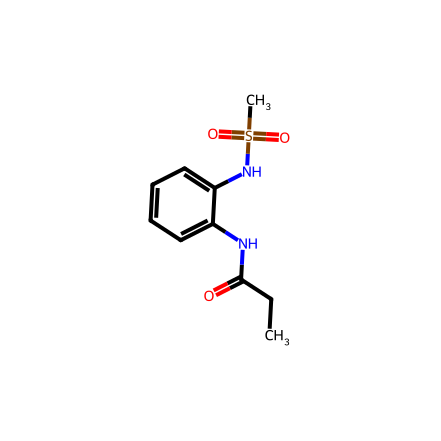 CCC(=O)Nc1ccccc1NS(C)(=O)=O